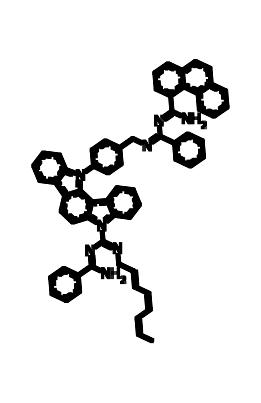 C\C=C/C=C\C=C\C/N=C(\N=C(/N)c1ccccc1)n1c2ccccc2c2c1ccc1c3ccccc3n(-c3ccc(C/N=C(\N=C(/N)c4cccc5ccc6ccccc6c45)c4ccccc4)cc3)c12